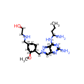 CCCC(N)Nc1nc(N)nc2cn(Cc3ccc(CNCCO)cc3OC)nc12